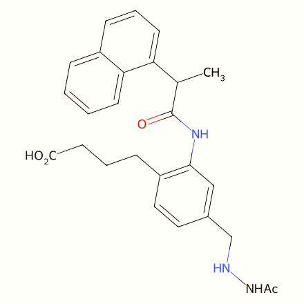 CC(=O)NNCc1ccc(CCCC(=O)O)c(NC(=O)C(C)c2cccc3ccccc23)c1